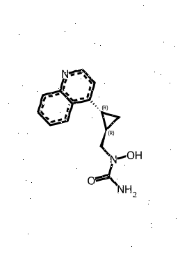 NC(=O)N(O)C[C@@H]1C[C@H]1c1ccnc2ccccc12